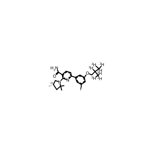 [2H]C([2H])([2H])C([2H])(COc1cc(F)cc(-c2ccc(C(N)=O)c(N3C[C@@H](C)CC3(C)C)n2)c1)C([2H])([2H])[2H]